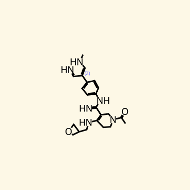 CN/C=C(\C=N)c1ccc(NC(=N)C2=C(NCC3COC3)CCN(C(C)=O)C2)cc1